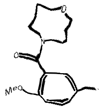 [CH2]c1ccc(OC)c(C(=O)N2CCOCC2)c1